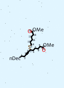 CCCCCCCCCCCCC#CC(CCCCC(=O)OC)SCCCCCC(=O)OC